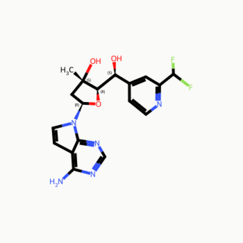 C[C@]1(O)C[C@H](n2ccc3c(N)ncnc32)O[C@@H]1[C@@H](O)c1ccnc(C(F)F)c1